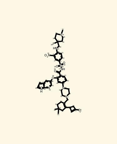 CCC1=CC(C2=C(CN3CCN(c4ccc(C(=O)NS(=O)(=O)c5ccc(NCC6(F)CCN(C)CC6)c([N+](=O)[O-])c5)c(Oc5cnc6[nH]ccc6c5)c4)CC3)CCC(C)(C)C2)C1